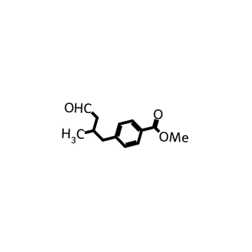 COC(=O)c1ccc(CC(C)CC=O)cc1